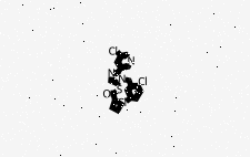 O=C(Sc1cnc(-c2cncc(Cl)c2)n1Cc1cc(Cl)ccc1Cl)C1CCC1